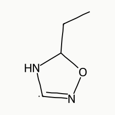 CCC1N[C]=NO1